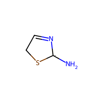 N[C]1N=CCS1